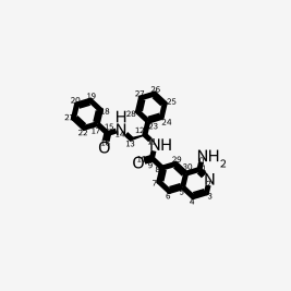 Nc1nccc2ccc(C(=O)N[C@@H](CNC(=O)c3ccccc3)c3ccccc3)cc12